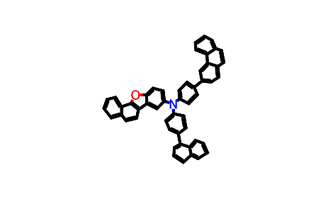 c1ccc2c(-c3ccc(N(c4ccc(-c5ccc6ccc7ccccc7c6c5)cc4)c4ccc5oc6c7ccccc7ccc6c5c4)cc3)cccc2c1